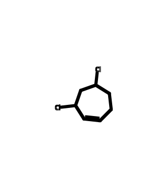 ClC1C=CCCC(Cl)C1